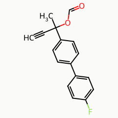 C#CC(C)(OC=O)c1ccc(-c2ccc(F)cc2)cc1